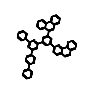 c1ccc(-c2ccc(-c3cc(-c4cc(-c5ccc6ccc7cccnc7c6n5)cc(-c5cc6ccccc6c6ccccc56)c4)nc(-c4ccccc4)n3)cc2)cc1